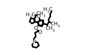 CCCCCC(C)C(C)c1cc(OC(=O)CCCN2CCCCC2)c2c(c1)OC(C)(C)C1=C2CCC1